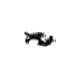 CCOCCC(=O)NCCCC[C@H](NC(=O)CCCCCN1C(=O)C=CC1=O)C(=O)NCCC(=O)Nc1cc(COC(=O)N(C)[C@H](C(=O)N[C@H](C(=O)N[C@@H]([C@@H](C)CC)[C@@H](CC(=O)N2CCC[C@H]2[C@H](OC)[C@@H](C)C(=O)N[C@H](C)[C@@H](O)c2ccccc2)OC)C(C)C)C(C)C)ccc1O[C@@H]1O[C@H](C(=O)O)[C@@H](O)[C@H](O)[C@H]1O